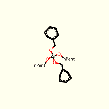 CCCCCO[Si](OCCCCC)(OCc1ccccc1)OCc1ccccc1